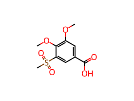 COc1cc(C(=O)O)cc(S(C)(=O)=O)c1OC